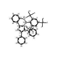 CC(C)(C)c1cc(C(C)(C)C)c(B2Oc3ccccc3-c3nc(-c4ccccc4)c(-c4ccccc4)n32)c(C(C)(C)C)c1